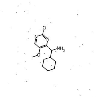 COc1cnc(Cl)nc1C(N)C1CCCCC1